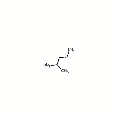 CCCC(C)CCN